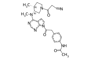 CC(=O)Nc1ccc(CC(=O)n2ccc3c(N(C)[C@H]4CN(C(=O)CC#N)CC[C@H]4C)ncnc32)cc1